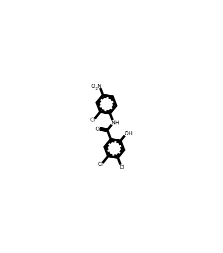 O=C(Nc1ccc([N+](=O)[O-])cc1Cl)c1cc(Cl)c(Cl)cc1O